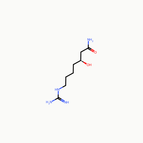 N=C(N)NCCCC[C@H](O)CC(N)=O